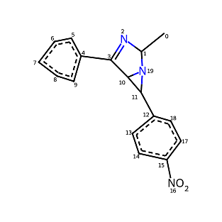 CC1N=C(c2ccccc2)C2C(c3ccc([N+](=O)[O-])cc3)N12